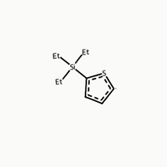 CC[Si](CC)(CC)c1cc[c]s1